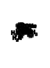 COC(=O)c1nc(C(=O)NC2(C)CCCCCC2)ccc1-c1cc2c(cc1C(=O)Nc1c(C)cc(CN)cc1C)-c1sccc1CCO2